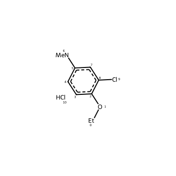 CCOc1ccc(NC)cc1Cl.Cl